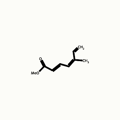 C=C/C(C)=C\C=C\C(=O)OC